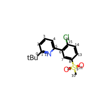 CC(C)(C)c1cccc(-c2cc(S(C)(=O)=O)ccc2Cl)n1